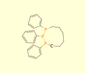 c1ccc(P2CCCCCCP(c3ccccc3)P2c2ccccc2)cc1